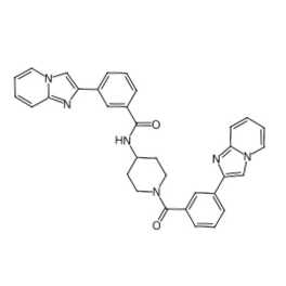 O=C(NC1CCN(C(=O)c2cccc(-c3cn4ccccc4n3)c2)CC1)c1cccc(-c2cn3ccccc3n2)c1